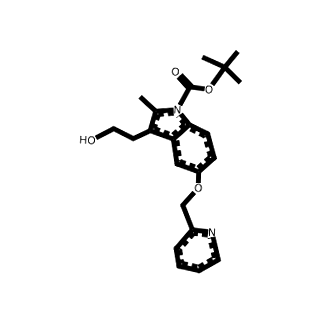 Cc1c(CCO)c2cc(OCc3ccccn3)ccc2n1C(=O)OC(C)(C)C